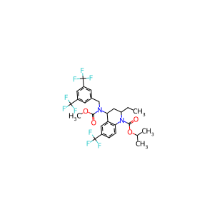 CCC1CC(N(Cc2cc(C(F)(F)F)cc(C(F)(F)F)c2)C(=O)OC)c2cc(C(F)(F)F)ccc2N1C(=O)OC(C)C